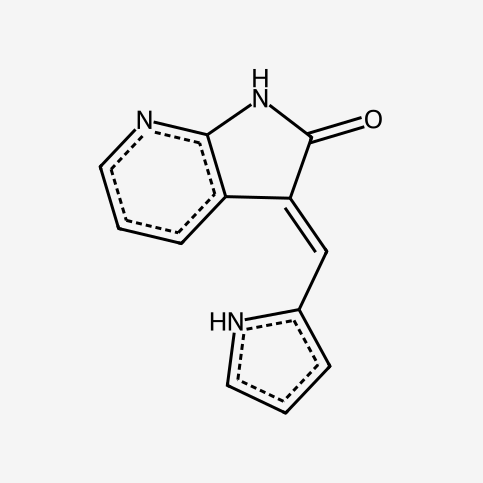 O=C1Nc2ncccc2/C1=C\c1ccc[nH]1